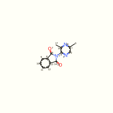 Cc1cnc(N2C(=O)c3ccccc3C2=O)c(C)n1